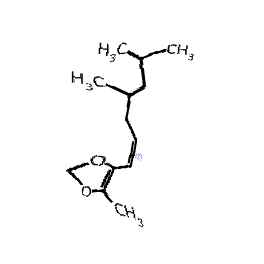 CC1=C(/C=C\CC(C)CC(C)C)OCO1